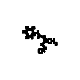 CN(CCCl)CCCc1ccccc1